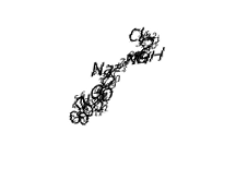 O=C([O-])c1cccnc1Oc1cccc(S(=O)(=O)c2ccc(CCCNC[C@H](O)c3cccc(Cl)c3)cc2)c1.[Na+]